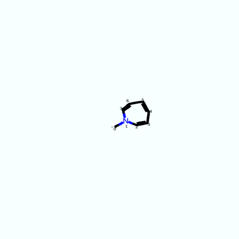 [CH2]N1C=CC=CC=C1